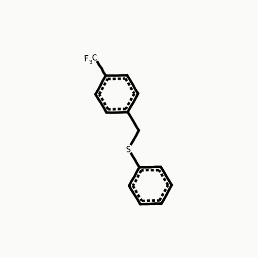 FC(F)(F)c1ccc(CSc2ccccc2)cc1